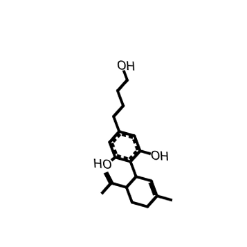 C=C(C)C1CCC(C)=CC1c1c(O)cc(CCCCO)cc1O